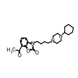 CC(=O)c1cccc2c1oc(=O)n2CCCCN1CCN(C2CCCCC2)CC1